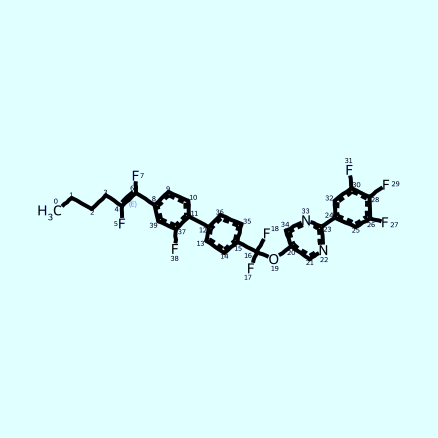 CCCC/C(F)=C(\F)c1ccc(-c2ccc(C(F)(F)Oc3cnc(-c4cc(F)c(F)c(F)c4)nc3)cc2)c(F)c1